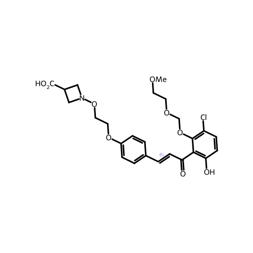 COCCOCOc1c(Cl)ccc(O)c1C(=O)/C=C/c1ccc(OCCON2CC(C(=O)O)C2)cc1